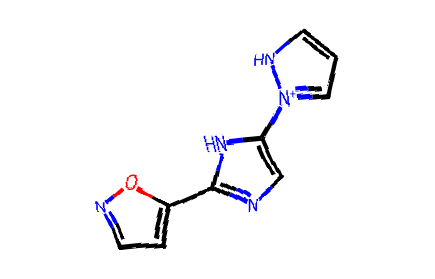 c1c[nH][n+](-c2cnc(-c3ccno3)[nH]2)c1